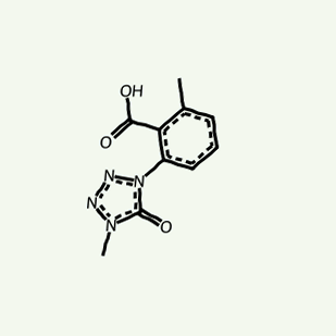 Cc1cccc(-n2nnn(C)c2=O)c1C(=O)O